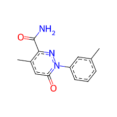 Cc1cccc(-n2nc(C(N)=O)c(C)cc2=O)c1